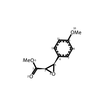 COC(=O)[C@@H]1O[C@@H]1c1ccc(OC)cc1